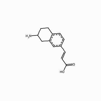 NC1CCc2ccc(C=CC(=O)O)cc2C1